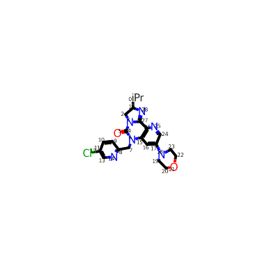 CC(C)C1CN2C(=O)N(Cc3ccc(Cl)cn3)c3cc(N4CCOCC4)cnc3C2=N1